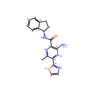 Cc1nc(C(=O)N[C@@H]2CCc3ccccc32)c(N)nc1-c1ncco1